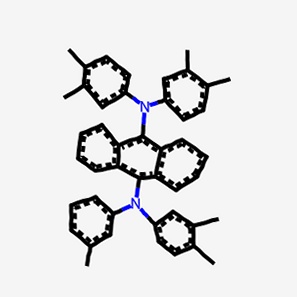 Cc1cccc(N(c2ccc(C)c(C)c2)c2c3ccccc3c(N(c3ccc(C)c(C)c3)c3ccc(C)c(C)c3)c3ccccc23)c1